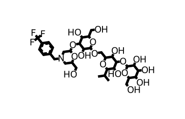 CC(C)C1OC(COC2OC(CO)C(O)C(OC3CN(Cc4ccc(C(F)(F)F)cc4)CC(CO)O3)C2O)C(O)C(OC2OC(CO)C(O)C(O)C2O)C1O